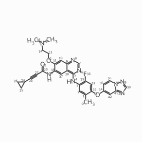 Cc1cc(Nc2ncnc3cc(OCCN(C)C)c(NC(=O)C#CC4CC4)cc23)c(F)cc1Oc1ccn2ncnc2c1